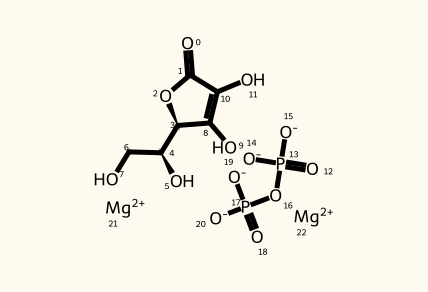 O=C1O[C@H]([C@@H](O)CO)C(O)=C1O.O=P([O-])([O-])OP(=O)([O-])[O-].[Mg+2].[Mg+2]